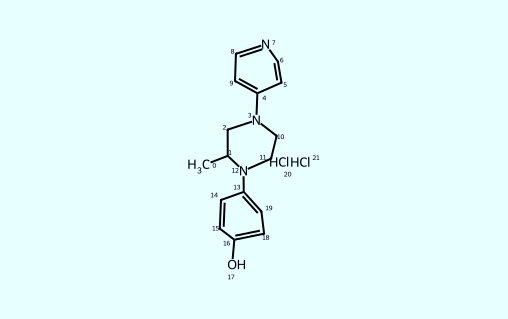 CC1CN(c2ccncc2)CCN1c1ccc(O)cc1.Cl.Cl